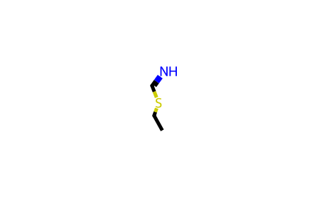 CCSC=N